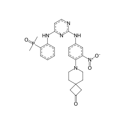 CP(C)(=O)c1ccccc1Nc1ccnc(Nc2ccc(N3CCC4(CC3)CC(=O)C4)c([N+](=O)[O-])c2)n1